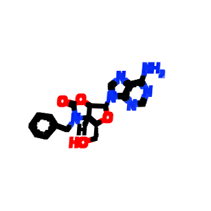 Nc1ncnc2c1ncn2[C@@H]1O[C@H](CO)[C@H]2C1OC(=O)N2Cc1ccccc1